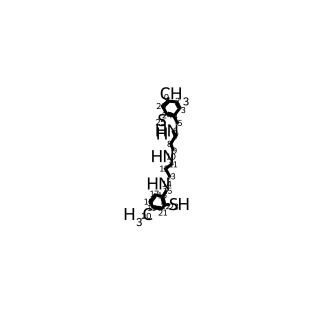 Cc1ccc(CNCCCNCCCNCc2ccc(C)cc2S)c(S)c1